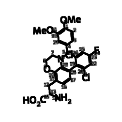 COc1ccc(CN2CCOc3c(C[C@H](N)C(=O)O)ccc(-c4c(Cl)cc(F)cc4Cl)c32)cc1OC